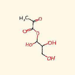 CC(=O)C(=O)OC(O)C(O)CO